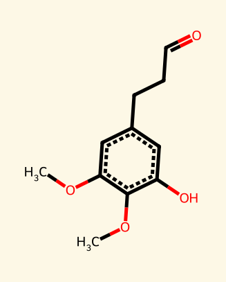 COc1cc(CCC=O)cc(O)c1OC